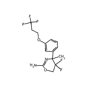 CC1(c2cccc(OCCC(F)(F)F)c2)N=C(N)OCC1(F)F